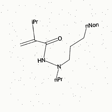 C=C(C(=O)NN(CCC)CCCCCCCCCCCC)C(C)C